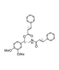 COc1ccc([C@@H](CNC(=O)/C=C/c2ccccc2)OC(=O)/C=C/c2ccccc2)cc1OC